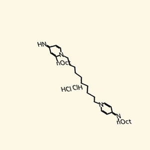 CCCCCCCCN=c1ccn(CCCCCCCCCCn2ccc(=N)cc2CCCCCCCC)cc1.Cl.Cl